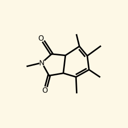 CC1=C(C)C2C(=O)N(C)C(=O)C2C(C)=C1C